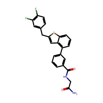 NC(=O)CNC(=O)c1cccc(-c2cccc3sc(Cc4ccc(F)c(F)c4)cc23)c1